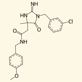 COc1ccc(CNC(=O)CC2(C)NC(=N)N(Cc3cccc(Cl)c3)C2=O)cc1